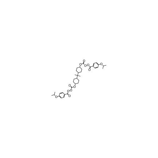 CC(C)Oc1ccc(C(=O)OOC(=O)OC2CCC(C(C)(C)C3CCC(OC(=O)OOC(=O)c4ccc(OC(C)C)cc4)CC3)CC2)cc1